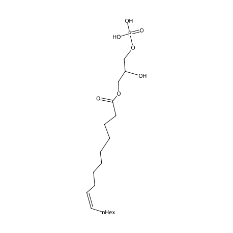 CCCCCC/C=C\CCCCCCCC(=O)OCC(O)COP(=O)(O)O